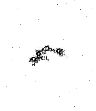 Cc1cc(OCCC[C@H]2CCN(CC(=O)Nc3ccc4c(C5CCC(=O)NC5=O)nn(C)c4c3)[C@@H](C)C2)ccc1Br